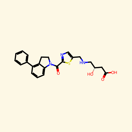 O=C(O)C[C@H](O)CNCc1cnc(C(=O)N2CCc3c(-c4ccccc4)cccc32)s1